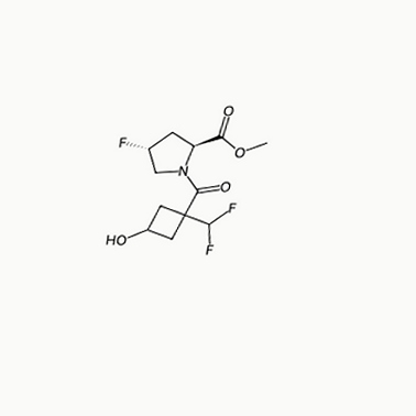 COC(=O)[C@@H]1C[C@@H](F)CN1C(=O)C1(C(F)F)CC(O)C1